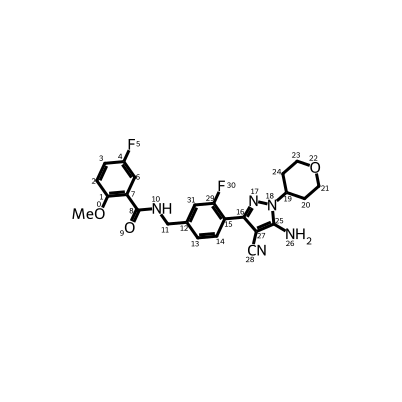 COc1ccc(F)cc1C(=O)NCc1ccc(-c2nn(C3CCOCC3)c(N)c2C#N)c(F)c1